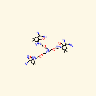 CC1(C)CC(NCCOCCN(CCOCCNC2=C(C=O)C(=C(C#N)C#N)CC(C)(C)C2)CCOCCNC2=C(C=O)C(=C(C#N)C#N)CC(C)(C)C2)=C(C=O)C(=C(C#N)C#N)C1